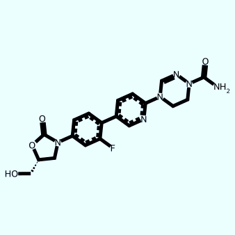 NC(=O)N1CCN(c2ccc(-c3ccc(N4C[C@H](CO)OC4=O)cc3F)cn2)C=N1